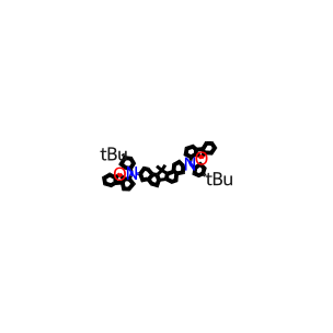 CC(C)(C)c1ccc(N(c2ccc3c4c(ccc3c2)-c2ccc3cc(N(c5ccc(C(C)(C)C)cc5)c5cccc6c5oc5ccccc56)ccc3c2C4(C)C)c2cccc3c2oc2ccccc23)cc1